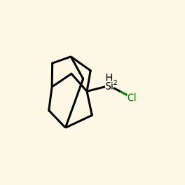 Cl[SiH2]C12CC3CC(CC(C3)C1)C2